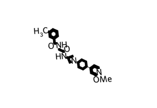 COc1cc([C@H]2CC[C@@H](N3CC(NC(=O)CNC(=O)c4cccc(C)c4)C3)CC2)ccn1